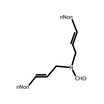 CCCCCCCCCC=CCN([C]=O)CC=CCCCCCCCCC